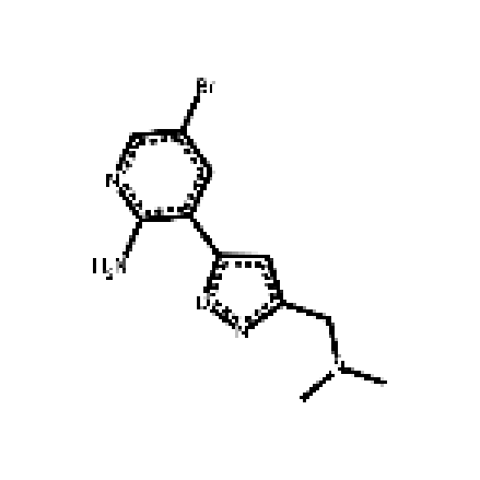 CN(C)Cc1cc(-c2cc(Br)cnc2N)on1